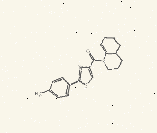 Cc1ccc(-c2nc(C(=O)N3CCCC4CCCC=C43)cs2)cc1